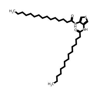 CCCCCCCCCCCCCCC(=O)Nc1cscc1NC(=O)CCCCCCCCCCCCCC